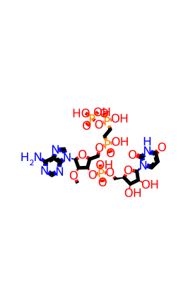 CO[C@@H]1[C@H](OP(=O)(O)OC[C@H]2O[C@@H](n3ccc(=O)[nH]c3=O)[C@H](O)[C@@H]2O)C(COP(=O)(O)CCP(=O)(O)OP(=O)(O)O)O[C@H]1n1cnc2c(N)ncnc21